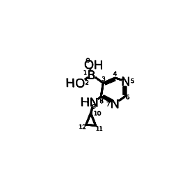 OB(O)c1cncnc1NC1CC1